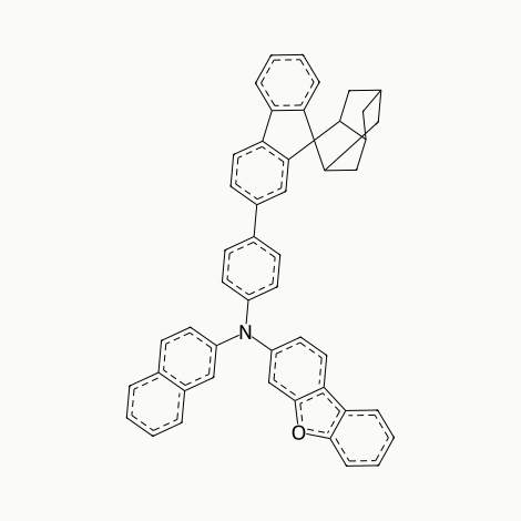 c1ccc2c(c1)-c1ccc(-c3ccc(N(c4ccc5ccccc5c4)c4ccc5c(c4)oc4ccccc45)cc3)cc1C21C2CC3CC(C2)C1C3